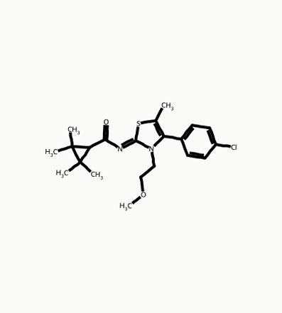 COCCn1c(-c2ccc(Cl)cc2)c(C)s/c1=N\C(=O)C1C(C)(C)C1(C)C